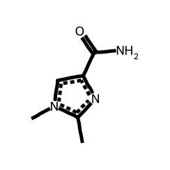 Cc1nc(C(N)=O)cn1C